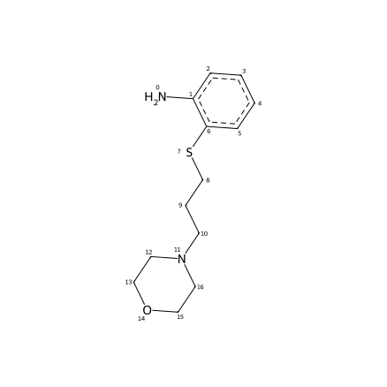 Nc1ccccc1SCCCN1CCOCC1